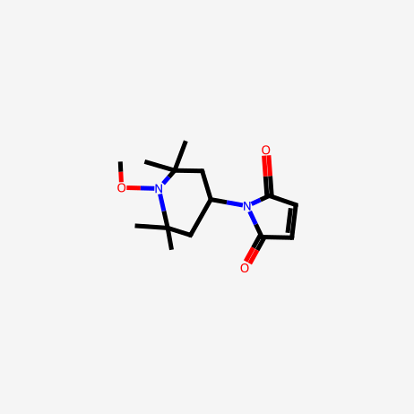 CON1C(C)(C)CC(N2C(=O)C=CC2=O)CC1(C)C